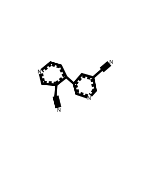 N#Cc1cncc(-c2ccncc2C#N)c1